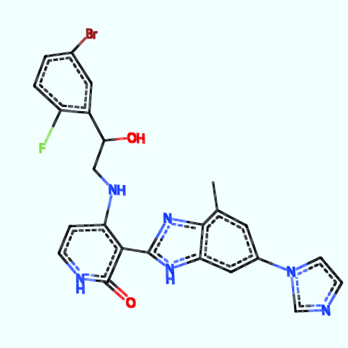 Cc1cc(-n2ccnc2)cc2[nH]c(-c3c(NCC(O)c4cc(Br)ccc4F)cc[nH]c3=O)nc12